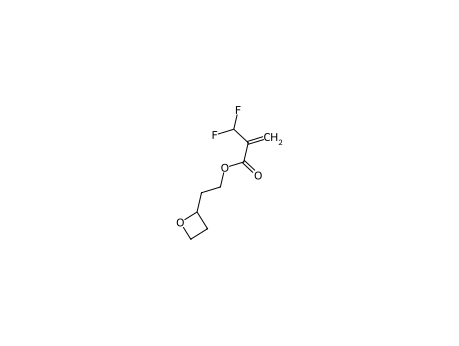 C=C(C(=O)OCCC1CCO1)C(F)F